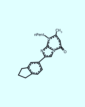 CCCCCn1c(C)cc(=O)n2cc(-c3ccc4c(c3)CCC4)nc12